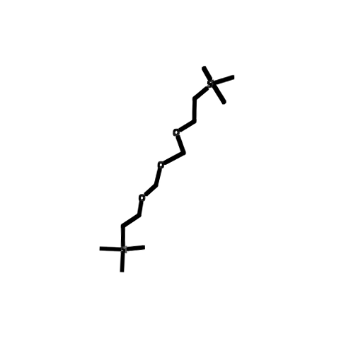 C[Si](C)(C)CCOCOCOCC[Si](C)(C)C